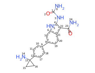 NC(=O)Nc1[nH]c2cc(-c3ccc(C4(N)CC4)cc3)ccc2c1C(N)=O